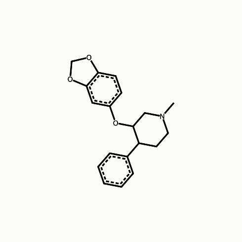 CN1CCC(c2ccccc2)C(Oc2ccc3c(c2)OCO3)C1